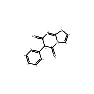 O=C1N=C2SC=CN2C(=O)C1c1ccccc1